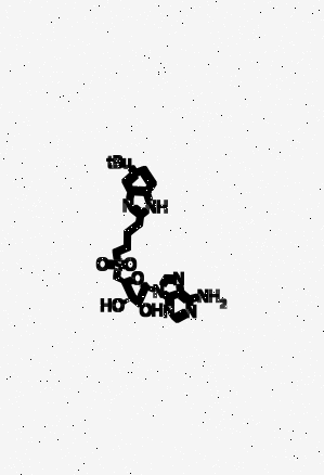 CC(C)(C)c1ccc2[nH]c(CCCCS(=O)(=O)C[C@H]3O[C@@H](n4cnc5c(N)ncnc54)[C@H](O)[C@@H]3O)nc2c1